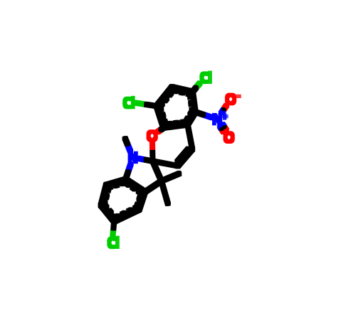 CN1c2ccc(Cl)cc2C(C)(C)C12C=Cc1c(c(Cl)cc(Cl)c1[N+](=O)[O-])O2